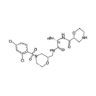 CCCC[C@H](NC(=O)C1CNCCO1)C(=O)NCC1CN(S(=O)(=O)c2ccc(Cl)cc2Cl)CCO1